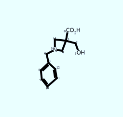 O=C(O)C1(CO)CN(Cc2ccccc2)C1